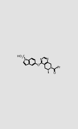 CC(C)C(=O)N1Cc2ncnc(Oc3ccc4c(ccn4C(=O)O)c3)c2C[C@@H]1C